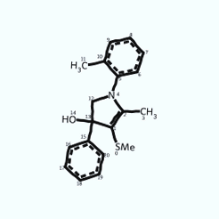 CSC1=C(C)N(c2ccccc2C)CC1(O)c1ccccc1